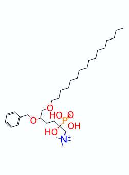 CCCCCCCCCCCCCCCCOCC(CC[C@@](O)(C[N+](C)(C)C)P(=O)(O)O)OCc1ccccc1